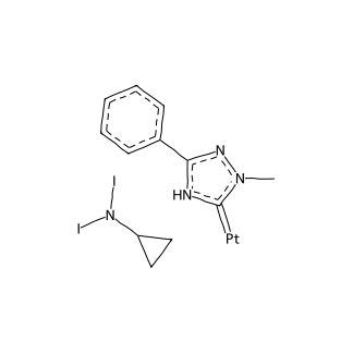 Cn1nc(-c2ccccc2)[nH][c]1=[Pt].IN(I)C1CC1